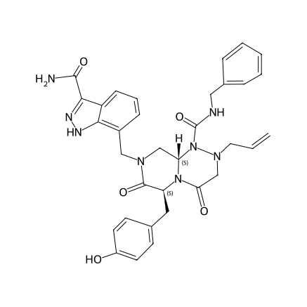 C=CCN1CC(=O)N2[C@@H](Cc3ccc(O)cc3)C(=O)N(Cc3cccc4c(C(N)=O)n[nH]c34)C[C@@H]2N1C(=O)NCc1ccccc1